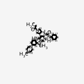 C=CC(=O)N1CC[C@@H](CN(C(=O)Nc2ccccc2)c2cc(Nc3ccc(N4CCN(C)CC4)cc3OC)ncn2)C1